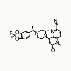 CC(c1ccc2c(c1)OC(F)(F)O2)N1CCN(c2cc(=O)n(C)c3ccc(C#N)nc23)[C@@H](C)C1